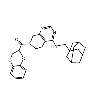 O=C(C1COc2ccccc2O1)N1CCc2c(ncnc2NCC23CC4CC(CC(C4)C2)C3)C1